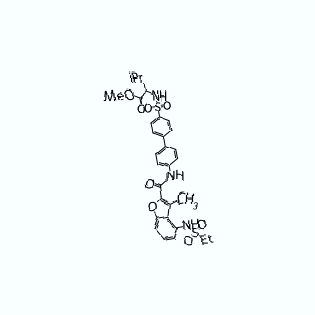 CCS(=O)(=O)Nc1cccc2oc(C(=O)Nc3ccc(-c4ccc(S(=O)(=O)NC(C(=O)OC)C(C)C)cc4)cc3)c(C)c12